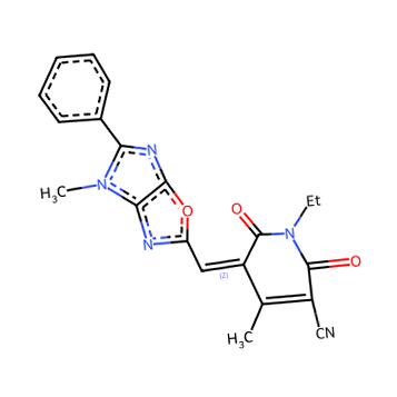 CCN1C(=O)C(C#N)=C(C)/C(=C/c2nc3c(nc(-c4ccccc4)n3C)o2)C1=O